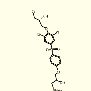 CC(=O)NC[C@H](O)COc1ccc(S(=O)(=O)c2cc(Cl)c(OC[C@@H](O)CCl)c(Cl)c2)cc1